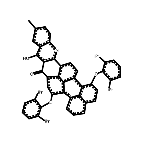 Cc1ccc2nc3c(c(O)c2c1)C(=O)c1cc(Oc2c(C(C)C)cccc2C(C)C)c2c4cccc5ccc(Oc6c(C(C)C)cccc6C(C)C)c(c6ccc-3c1c62)c54